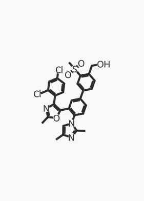 Cc1cn(-c2ccc(-c3ccc(CO)c(S(C)(=O)=O)c3)cc2-c2oc(C)nc2-c2ccc(Cl)cc2Cl)c(C)n1